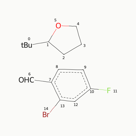 CC(C)(C)C1CCCO1.O=Cc1ccc(F)cc1Br